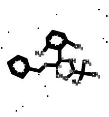 Cc1cccc(C)c1[C@@H](N[S@+]([O-])C(C)(C)C)[C@H](C)OCc1ccccc1